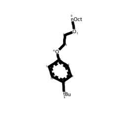 CCCCCCCCOCCOc1ccc(C(C)(C)C)cc1